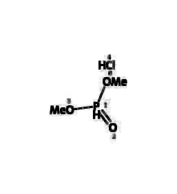 CO[PH](=O)OC.Cl